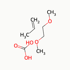 C=CC.COCCOC.O=C(O)O